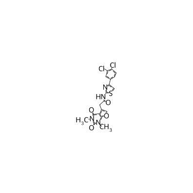 Cn1c(=O)c2c(CC(=O)Nc3nc(-c4ccc(Cl)c(Cl)c4)cs3)coc2n(C)c1=O